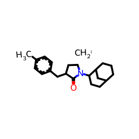 Cc1ccc(CC2CCN(C3CCC4CCCC3C4)C2=O)cc1.[CH2]